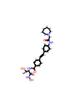 C[C@@H](O)[C@H](NC(=O)c1ccc(C#Cc2ccc(NC(=O)CN3CCCCCC3)cc2)cc1)C(=O)NO